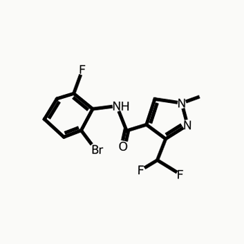 Cn1cc(C(=O)Nc2c(F)cccc2Br)c(C(F)F)n1